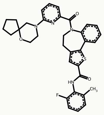 Cc1cccc(F)c1NC(=O)c1cc2c(s1)-c1ccccc1N(C(=O)c1cccc(N3CCOC4(CCCC4)C3)n1)CC2